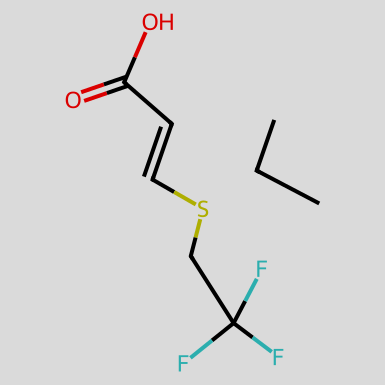 CCC.O=C(O)C=CSCC(F)(F)F